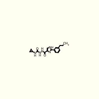 CCCc1cccc(-c2nc(C(=O)NNC(=O)NC3CC3)c[nH]2)c1